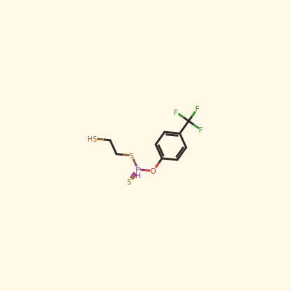 FC(F)(F)c1ccc(O[PH](=S)SCCS)cc1